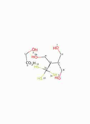 O=C(O)CO.OCC(CO)C(CO)C(S)(S)S